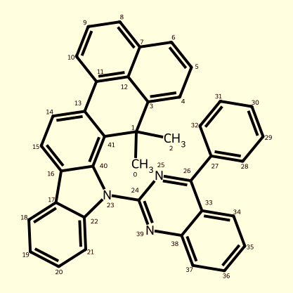 CC1(C)c2cccc3cccc(c23)-c2ccc3c4ccccc4n(-c4nc(-c5ccccc5)c5ccccc5n4)c3c21